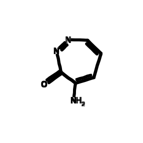 Nc1cccnnc1=O